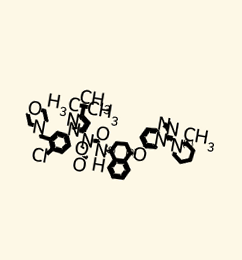 C[C@H]1CCCCN1c1nnc2ccc(O[C@@H]3CC[C@H](NC(=O)N(OC=O)c4cc(C(C)(C)C)nn4-c4ccc(Cl)c(CN5CCOCC5)c4)c4ccccc43)cn12